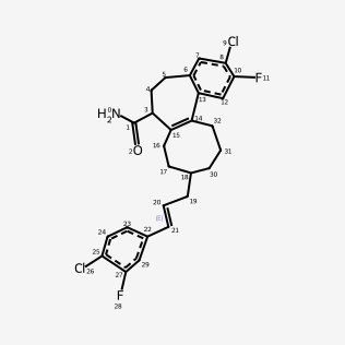 NC(=O)C1CCc2cc(Cl)c(F)cc2C2=C1CCC(C/C=C/c1ccc(Cl)c(F)c1)CCC2